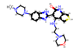 CN1CCN(c2ccc3nc(-c4c(NCCN5CCOCC5)c5cscc5[nH]c4=O)[nH]c3c2)CC1